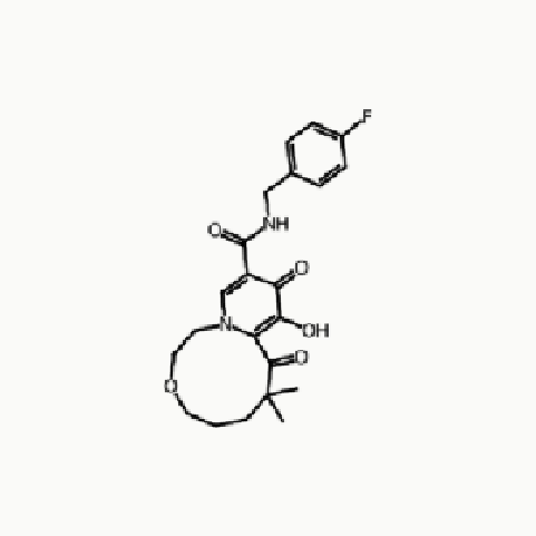 CC1(C)CCCOCCn2cc(C(=O)NCc3ccc(F)cc3)c(=O)c(O)c2C1=O